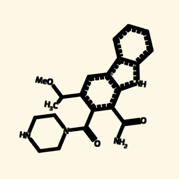 COC(C)c1cc2c([nH]c3ccccc32)c(C(N)=O)c1C(=O)N1CCNCC1